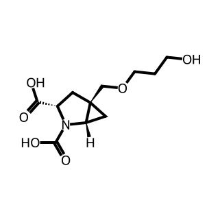 O=C(O)[C@@H]1C[C@]2(COCCCO)C[C@@H]2N1C(=O)O